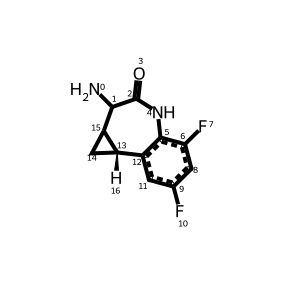 NC1C(=O)Nc2c(F)cc(F)cc2[C@@H]2CC12